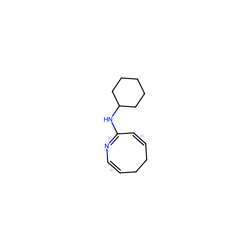 C1=C/N=C(NC2CCCCC2)\C=C/CC\1